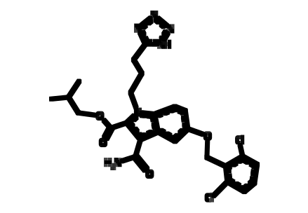 CC(C)COC(=O)c1c(C(N)=O)c2cc(OCc3c(Cl)cccc3Cl)ccc2n1CCCc1nnn[nH]1